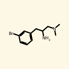 CN(C)CC(N)Cc1cccc(Br)c1